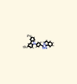 CC(C)c1ccc2c(c1)c1cc(C(C)(C)C)ccc1n2-c1ccc(-c2nnc3c4ccccc4ccn23)cc1